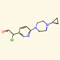 O=CC(Br)c1ccc(N2CCN(C3CC3)CC2)nc1